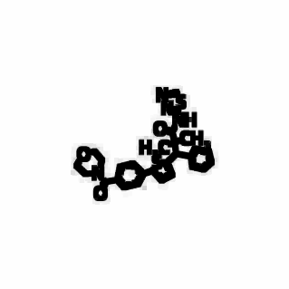 CC(C)(C(=O)Nc1nncs1)C(c1ccccc1)c1ccc(-c2ccc(C(=O)N3CCOCC3)cc2)s1